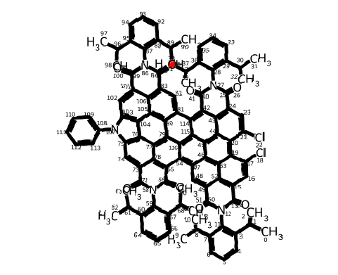 CC(C)c1cccc(C(C)C)c1-n1c(=O)c2cc(Cl)c3c4c(Cl)cc5c(=O)n(-c6c(C(C)C)cccc6C(C)C)c(=O)c6c5c4c4c5c(cc(c1=O)c2c35)c1c2c(=O)n(-c3c(C(C)C)cccc3C(C)C)c(=O)c3cc5c7c(c32)c2c3c(cc8c(=O)n(-c9c(C(C)C)cccc9C(C)C)c(=O)c9cc(c7c3c89)n5-c3ccccc3)c6c4c12